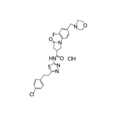 Cl.O=C(Nc1nnc(CCc2ccc(Cl)cc2)s1)C1CC(=O)N(c2ccc(CN3CCOCC3)cc2F)C1